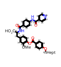 CCCCCCCOc1ccc(C(=O)Oc2ccc(CC(NC(=O)c3ccc(NC(=O)c4ccncc4)cc3)C(=O)O)cc2OC)cc1